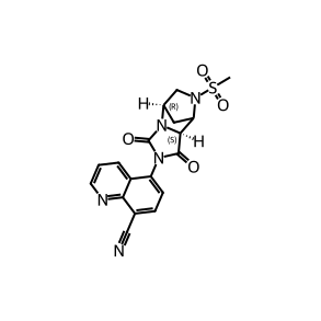 CS(=O)(=O)N1C[C@H]2CC1[C@H]1C(=O)N(c3ccc(C#N)c4ncccc34)C(=O)N21